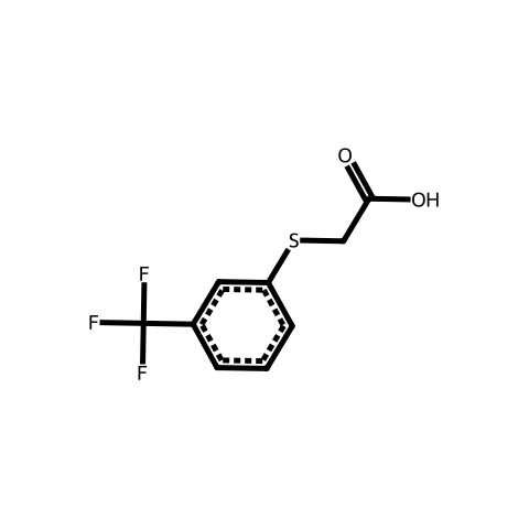 O=C(O)CSc1cccc(C(F)(F)F)c1